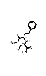 CC(C)C[C@@H](N[C@@H](CCc1ccccc1)C(=O)OC(C)(C)C)C(N)=O